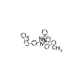 CC1C=CC=C2C1c1cccc(-c3nc(-c4ccccc4)nc(-c4ccc(-c5cccc6c5sc5ccccc56)cc4)n3)c1C21C2CC3CC(C2)CC1C3